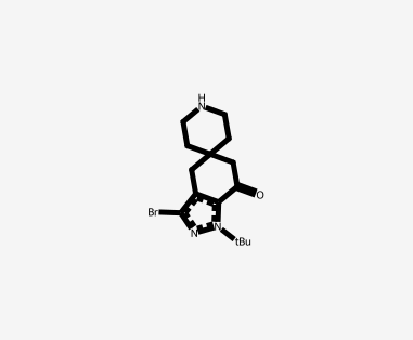 CC(C)(C)n1nc(Br)c2c1C(=O)CC1(CCNCC1)C2